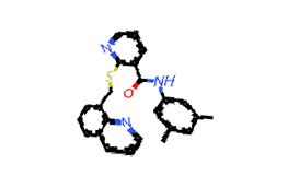 Cc1cc(C)cc(NC(=O)c2cccnc2SCc2cccc3cccnc23)c1